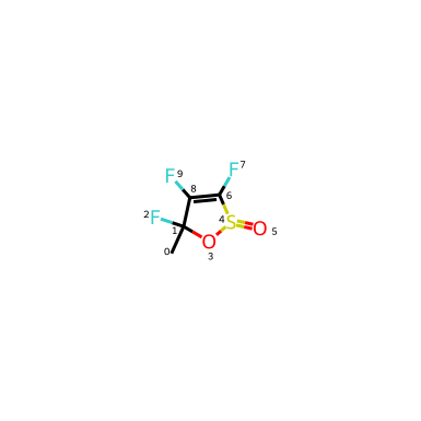 CC1(F)OS(=O)C(F)=C1F